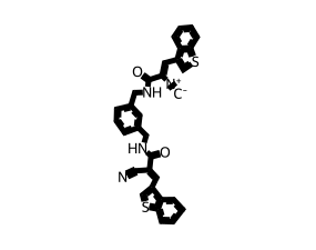 [C-]#[N+]/C(=C\c1csc2ccccc12)C(=O)NCc1cccc(CNC(=O)/C(C#N)=C/c2csc3ccccc23)c1